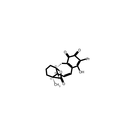 CC(C)C1=C(O)C2=C(C[C@]34CCC[C@](C)(C(=O)O3)[C@H]4C=C2)C(=O)C1=O